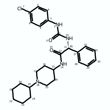 O=C(Nc1ccc(Cl)cc1)N[C@@H](C(=O)NC1CCN(C2CCCCC2)CC1)c1ccccc1